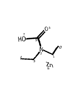 CCN(CC)C(=O)O.[Zn]